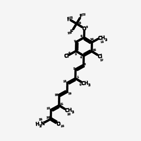 CC(/C=C/c1c(Cl)cc(OC(F)(F)F)c(C)c1Cl)=C\C=C\C(C)=C\C(N)=O